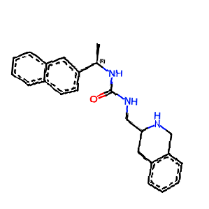 C[C@@H](NC(=O)NCC1Cc2ccccc2CN1)c1ccc2ccccc2c1